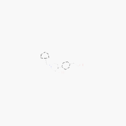 OCCc1ccc(C2(O)CCN(Cc3ccccc3)CC2)cc1